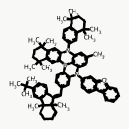 Cc1cc2c3c(c1)N(c1ccc4c(c1)C(C)(C)CCC4(C)C)c1cc4c(cc1B3c1ccc(/C=C3\c5ccc(C(C)(C)C)cc5C5(C)CCCCC35C)cc1N2c1ccc2c(c1)oc1ccccc12)C(C)(C)CCC4(C)C